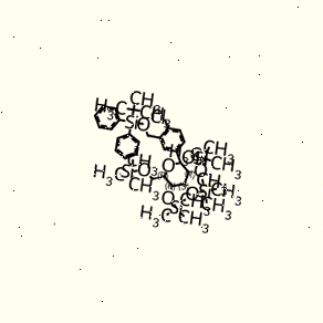 CC(C)(C)[Si](OCc1cc(C2(O)O[C@H](CO[Si](C)(C)C)[C@@H](O[Si](C)(C)C)[C@H](O[Si](C)(C)C)[C@H]2O[Si](C)(C)C)ccc1Cl)(c1ccccc1)c1ccccc1